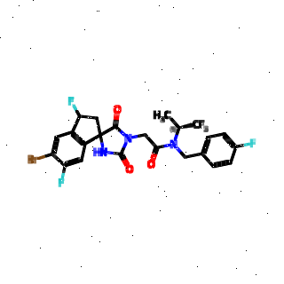 C[C@H](N(Cc1ccc(F)cc1)C(=O)CN1C(=O)NC2(CC(F)c3cc(Br)c(F)cc32)C1=O)C(F)(F)F